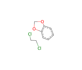 ClCCCl.c1ccc2c(c1)OCO2